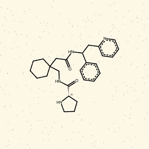 O=C(CC1(CNC(=O)[C@@H]2CCCN2)CCCCC1)NC(Cc1ccccn1)c1ccccc1